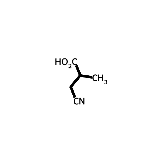 CC(CC#N)C(=O)O